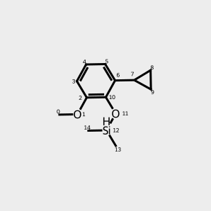 COc1cccc(C2CC2)c1O[SiH](C)C